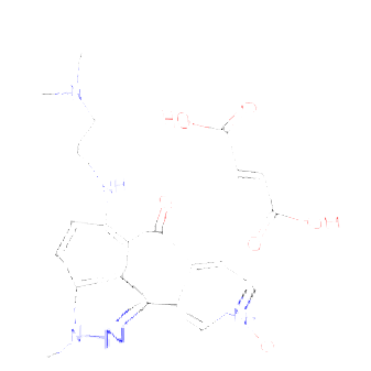 CN(C)CCNc1ccc2c3c(nn2C)-c2c[n+]([O-])ccc2C(=O)c13.O=C(O)C=CC(=O)O